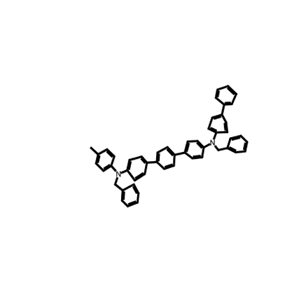 Cc1ccc(N(Cc2ccccc2)c2ccc(-c3ccc(-c4ccc(N(Cc5ccccc5)c5ccc(-c6ccccc6)cc5)cc4)cc3)cc2)cc1